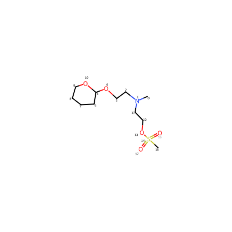 CN(CCOC1CCCCO1)CCOS(C)(=O)=O